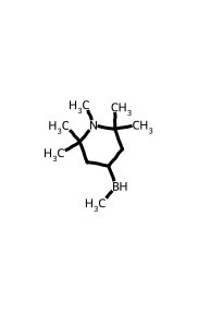 CBC1CC(C)(C)N(C)C(C)(C)C1